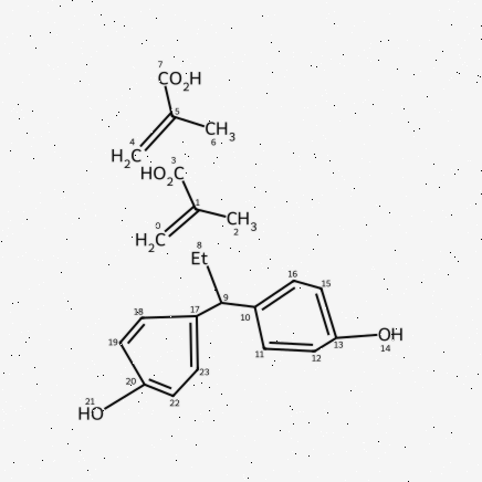 C=C(C)C(=O)O.C=C(C)C(=O)O.CCC(c1ccc(O)cc1)c1ccc(O)cc1